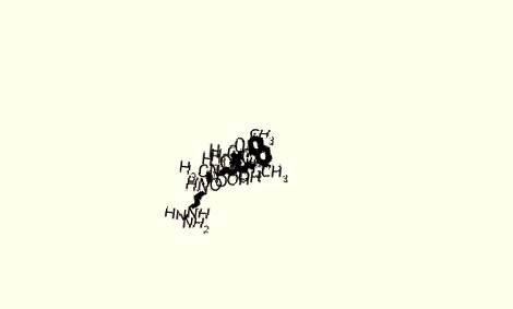 CCC(C)(C)C(=O)O[C@H]1C[C@@H](C)C=C2C=C[C@H](C)[C@H](CC[C@@H](O)C[C@@H](O)CC(=O)N[C@@H](C)C(=O)NCCCCNC(=N)N)C21